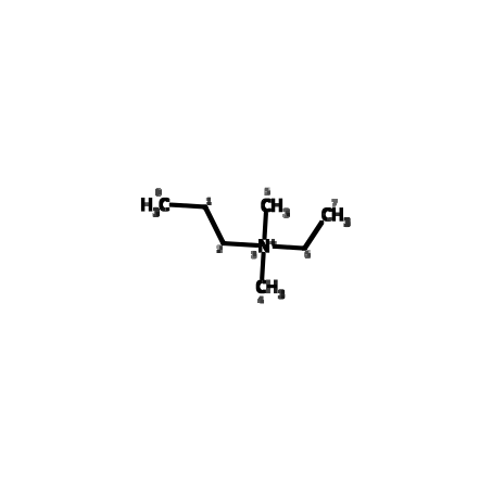 CCC[N+](C)(C)CC